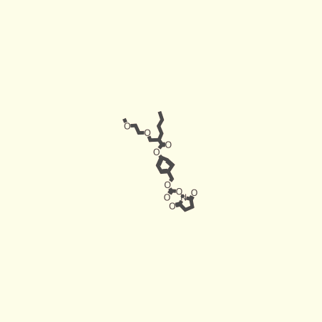 CCCCC(COCCOC)C(=O)Oc1ccc(COC(=O)ON2C(=O)CCC2=O)cc1